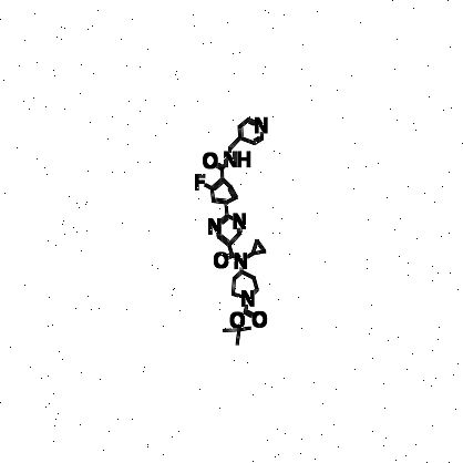 CC(C)(C)OC(=O)N1CCC(N(C(=O)c2cnc(-c3ccc(C(=O)NCc4ccncc4)c(F)c3)nc2)C2CC2)CC1